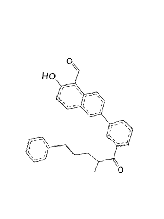 CC(CCCc1ccccc1)C(=O)c1cccc(-c2ccc3c(C=O)c(O)ccc3c2)c1